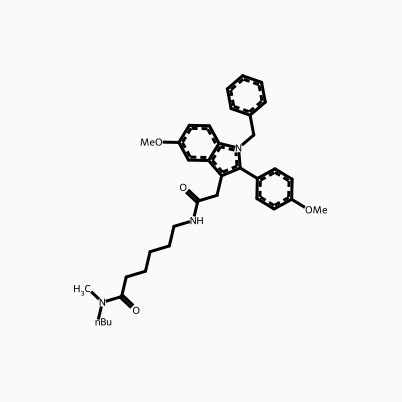 CCCCN(C)C(=O)CCCCCNC(=O)Cc1c(-c2ccc(OC)cc2)n(Cc2ccccc2)c2ccc(OC)cc12